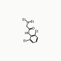 CCc1cccc(CC)c1NC(=O)CN(CC)CC